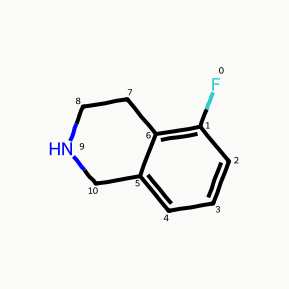 Fc1cccc2c1CCNC2